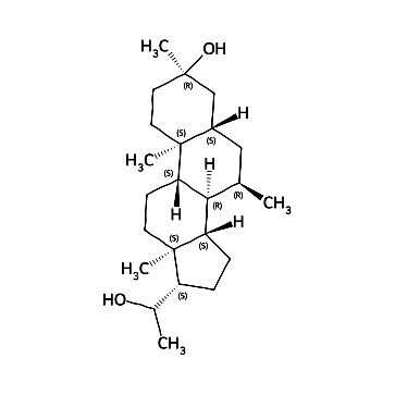 CC(O)[C@H]1CC[C@H]2[C@@H]3[C@H](C)C[C@H]4C[C@](C)(O)CC[C@]4(C)[C@H]3CC[C@]12C